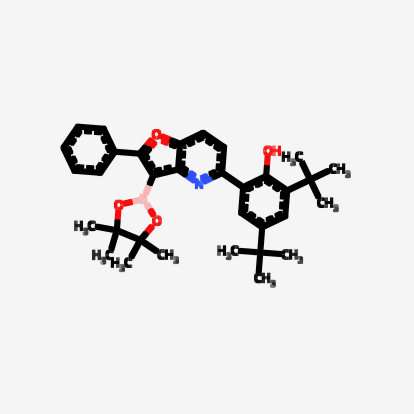 CC(C)(C)c1cc(-c2ccc3oc(-c4ccccc4)c(B4OC(C)(C)C(C)(C)O4)c3n2)c(O)c(C(C)(C)C)c1